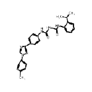 Cc1ccc(-n2cnc(-c3ccc(NC(=O)NC(=O)Nc4ccccc4C(C)C)cc3)n2)cc1